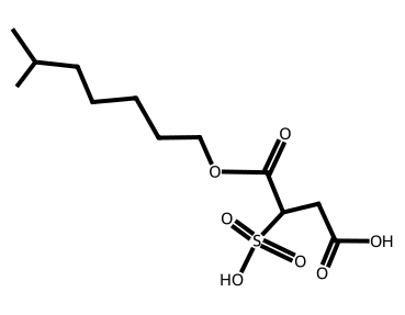 CC(C)CCCCCOC(=O)C(CC(=O)O)S(=O)(=O)O